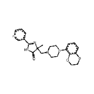 CC1(CN2CCN(c3cccc4c3OCCO4)CC2)N=C(c2cccnc2)NC1=O